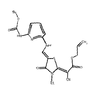 C=CCOC(=O)C(C#N)=c1sc(=CNc2cccc(NC(=O)OC(C)(C)C)n2)c(=O)n1CC